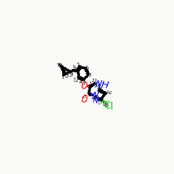 O=c1c(Oc2cccc(C3CC3)c2)c[nH]c2cc(Cl)nn12